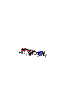 CN(C)CCCCCCCCCCCCCCCCCCCc1ccccc1.O=[N+]([O-])c1cccc(S(=O)(=O)O)c1